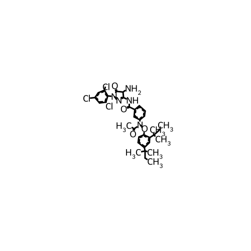 CCC(C)(C)c1ccc(ON(C(C)=O)c2cccc(C(=O)NC3=NN(c4c(Cl)cc(Cl)cc4Cl)C(=O)C3N)c2)c(C(C)(C)CC)c1